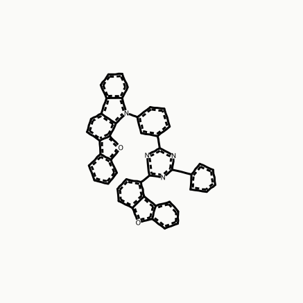 c1ccc(-c2nc(-c3cccc(-n4c5ccccc5c5ccc6c7ccccc7oc6c54)c3)nc(-c3cccc4oc5ccccc5c34)n2)cc1